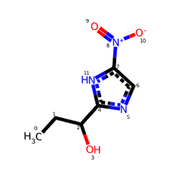 CCC(O)c1ncc([N+](=O)[O-])[nH]1